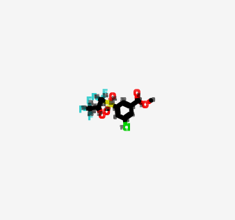 COC(=O)c1cc(Cl)cc(S(=O)(=O)C(F)(F)C(=O)C(F)(F)F)c1